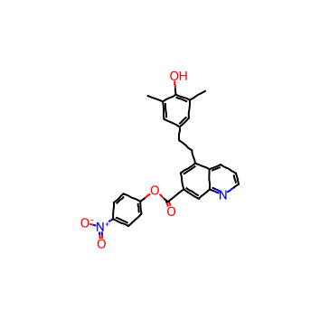 Cc1cc(CCc2cc(C(=O)Oc3ccc([N+](=O)[O-])cc3)cc3ncccc23)cc(C)c1O